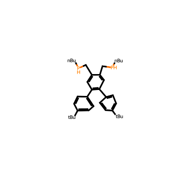 CCCCPCc1cc(-c2ccc(C(C)(C)C)cc2)c(-c2ccc(C(C)(C)C)cc2)cc1CPCCCC